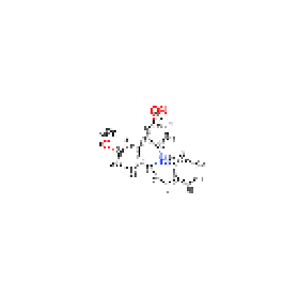 CC(C)Oc1ccc(C2CCc3ccccc3N2c2ccc(O)cc2)cc1